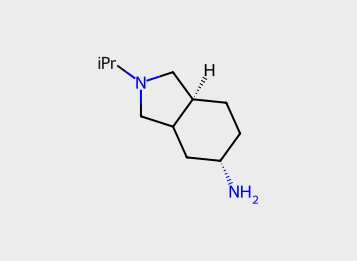 CC(C)N1CC2C[C@@H](N)CC[C@@H]2C1